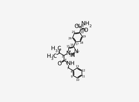 CC(C)C(C(=O)NCc1ccccc1)n1cc(-c2ccc(S(N)(=O)=O)cc2)nn1